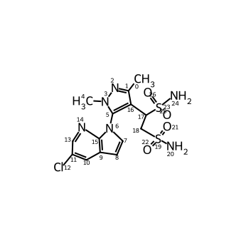 Cc1nn(C)c(-n2ccc3cc(Cl)cnc32)c1C(CS(N)(=O)=O)S(N)(=O)=O